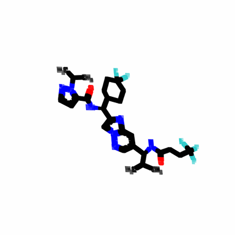 CC(C)[C@H](NC(=O)CCC(F)(F)F)c1cnn2cc([C@@H](NC(=O)c3ccnn3C(C)C)C3CCC(F)(F)CC3)nc2c1